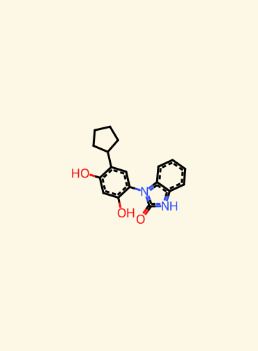 O=c1[nH]c2ccccc2n1-c1cc(C2CCCC2)c(O)cc1O